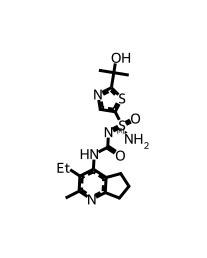 CCc1c(C)nc2c(c1NC(=O)N=[S@@](N)(=O)c1cnc(C(C)(C)O)s1)CCC2